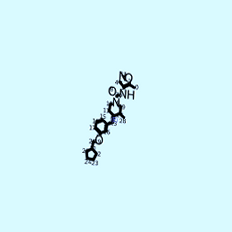 Cc1oncc1NC(=O)N1CC/C(=C\c2cccc(OCC3CCCC3)c2)C(C)C1